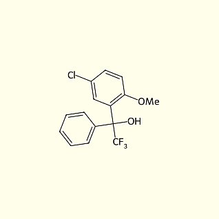 COc1ccc(Cl)cc1C(O)(c1ccccc1)C(F)(F)F